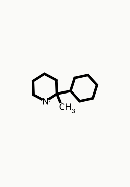 CC1(C2CCCCC2)CCCC[N]1